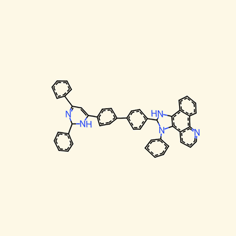 C1=C(c2ccc(-c3ccc(C4Nc5c(c6cccnc6c6ccccc56)N4c4ccccc4)cc3)cc2)NC(c2ccccc2)N=C1c1ccccc1